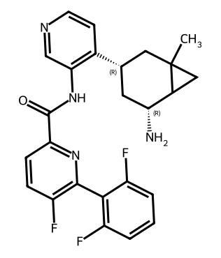 CC12CC1[C@H](N)C[C@H](c1ccncc1NC(=O)c1ccc(F)c(-c3c(F)cccc3F)n1)C2